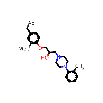 COc1cc(CC(C)=O)ccc1OCC(O)CN1CCN(c2ccccc2C)CC1